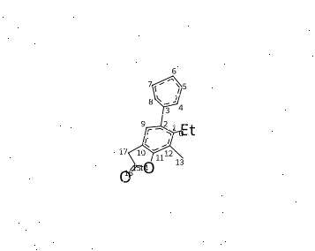 CCc1c(-c2ccccc2)cc2c(c1C)OC(=O)C2